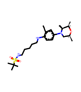 Cc1cc(N2C[C@H](C)O[C@H](C)C2C)ccc1NCCCCCNS(=O)(=O)C(C)(C)C